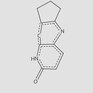 O=c1ccc2nc3c(cc2[nH]1)CCC3